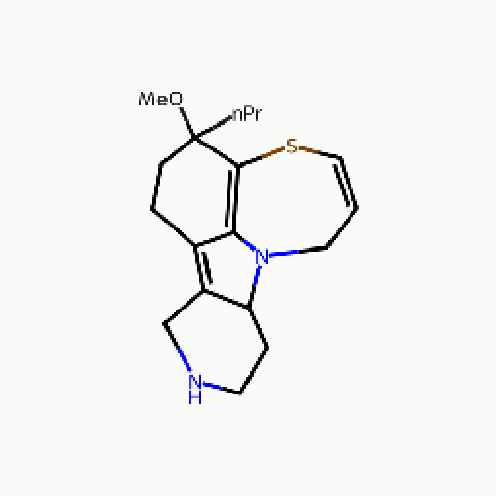 CCCC1(OC)CCC2=C3CNCCC3N3CC=CSC1=C23